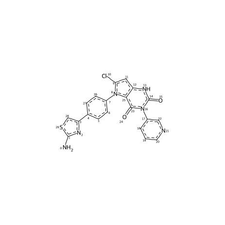 Nc1nc(-c2ccc(-n3c(Cl)cc4[nH]c(=O)n(-c5cccnc5)c(=O)c43)cc2)cs1